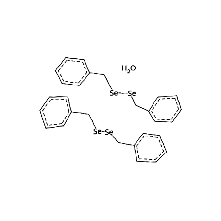 O.c1ccc(C[Se][Se]Cc2ccccc2)cc1.c1ccc(C[Se][Se]Cc2ccccc2)cc1